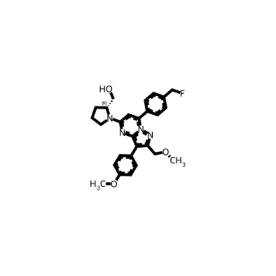 COCc1nn2c(-c3ccc(CF)cc3)cc(N3CCC[C@@H]3CO)nc2c1-c1ccc(OC)cc1